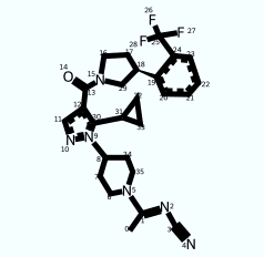 CC(=NC#N)N1CCC(n2ncc(C(=O)N3CC[C@@H](c4ccccc4C(F)(F)F)C3)c2C2CC2)CC1